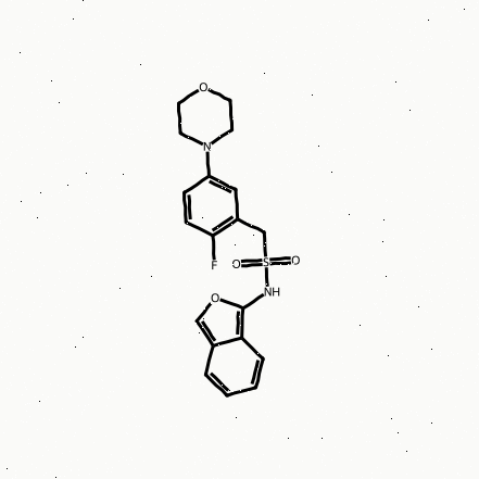 O=S(=O)(Cc1cc(N2CCOCC2)ccc1F)Nc1occ2ccccc12